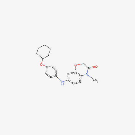 CN1C(=O)COc2cc(Nc3ccc(OC4CCCCC4)cc3)ccc21